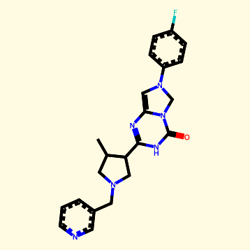 CC1CN(Cc2cccnc2)CC1C1=NC2=CN(c3ccc(F)cc3)CN2C(=O)N1